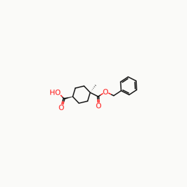 C[C@]1(C(=O)OCc2ccccc2)CC[C@@H](C(=O)O)CC1